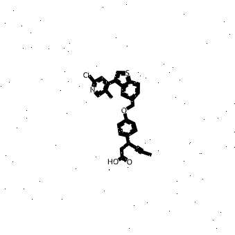 CC#CC(CC(=O)O)c1ccc(OCc2ccc3scc(-c4cc(Cl)ncc4C)c3c2)cc1